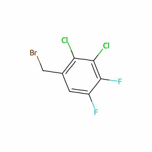 Fc1cc(CBr)c(Cl)c(Cl)c1F